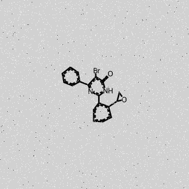 O=c1[nH]c(-c2ccccc2C2CO2)nc(-c2ccccc2)c1Br